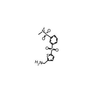 CN(C)S(=O)(=O)c1cccc(S(=O)(=O)c2ccc(CN)s2)c1